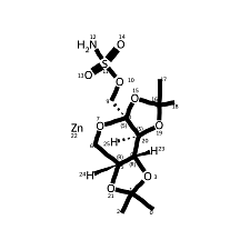 CC1(C)O[C@@H]2[C@@H](CO[C@@]3(COS(N)(=O)=O)OC(C)(C)O[C@@H]23)O1.[Zn]